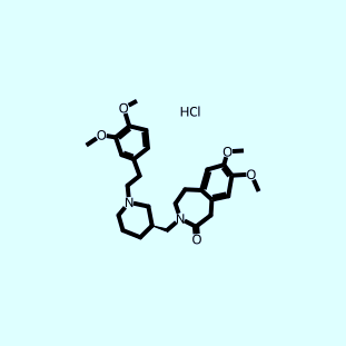 COc1ccc(CCN2CCC[C@H](CN3CCc4cc(OC)c(OC)cc4CC3=O)C2)cc1OC.Cl